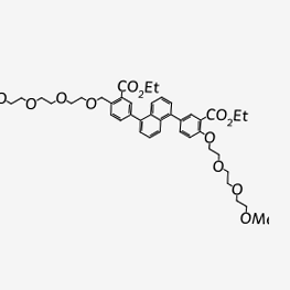 CCOC(=O)c1cc(-c2cccc3c(-c4ccc(OCCOCCOCCOC)c(C(=O)OCC)c4)cccc23)ccc1COCCOCCOCCO